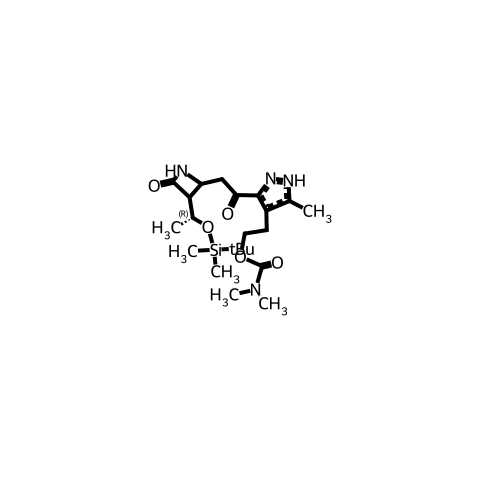 Cc1[nH]nc(C(=O)CC2NC(=O)C2[C@@H](C)O[Si](C)(C)C(C)(C)C)c1CCOC(=O)N(C)C